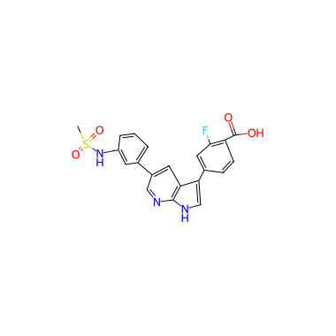 CS(=O)(=O)Nc1cccc(-c2cnc3[nH]cc(-c4ccc(C(=O)O)c(F)c4)c3c2)c1